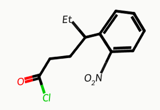 CCC(CCC(=O)Cl)c1ccccc1[N+](=O)[O-]